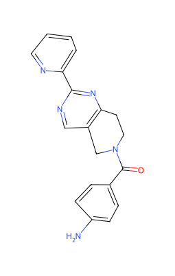 Nc1ccc(C(=O)N2CCc3nc(-c4ccccn4)ncc3C2)cc1